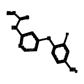 CNC(=O)Nc1cc(Oc2ccc(N)cc2F)ccn1